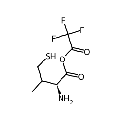 CC(CS)[C@H](N)C(=O)OC(=O)C(F)(F)F